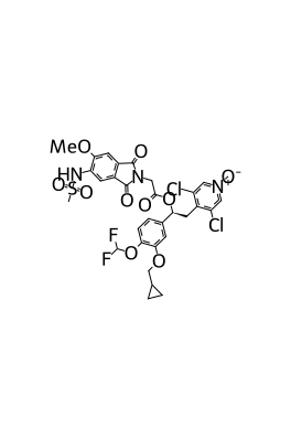 COc1cc2c(cc1NS(C)(=O)=O)C(=O)N(CC(=O)O[C@@H](Cc1c(Cl)c[n+]([O-])cc1Cl)c1ccc(OC(F)F)c(OCC3CC3)c1)C2=O